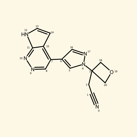 N#CCC1(n2cc(-c3cnnc4[nH]ccc34)cn2)COC1